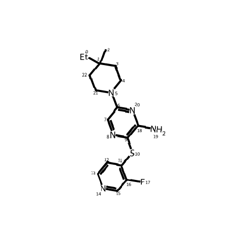 CCC1(C)CCN(c2cnc(Sc3ccncc3F)c(N)n2)CC1